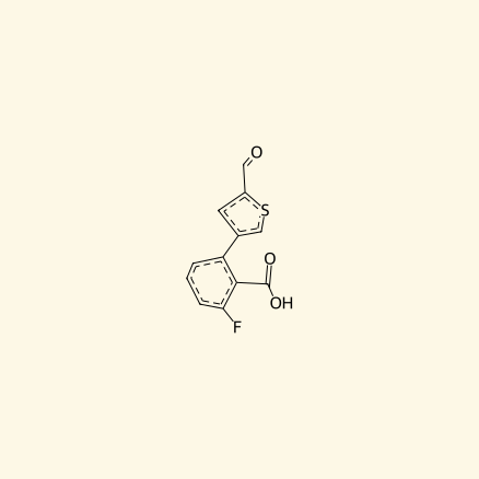 O=Cc1cc(-c2cccc(F)c2C(=O)O)cs1